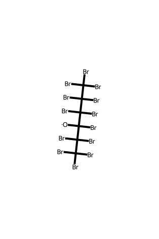 [O]C(Br)(C(Br)(Br)C(Br)(Br)Br)C(Br)(Br)C(Br)(Br)C(Br)(Br)Br